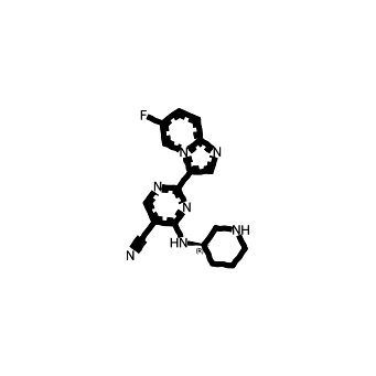 N#Cc1cnc(-c2cnc3ccc(F)cn23)nc1N[C@@H]1CCCNC1